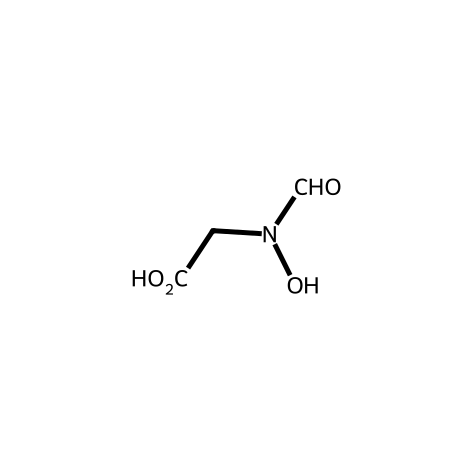 O=CN(O)CC(=O)O